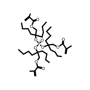 C=C(C)C(=O)OCC(CCCC)(CCCC)OP(=O)(OC(CCCC)(CCCC)COC(=O)C(=C)C)OC(CCCC)(CCCC)COC(=O)C(=C)C